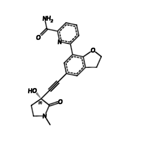 CN1CC[C@@](O)(C#Cc2cc3c(c(-c4cccc(C(N)=O)n4)c2)OCC3)C1=O